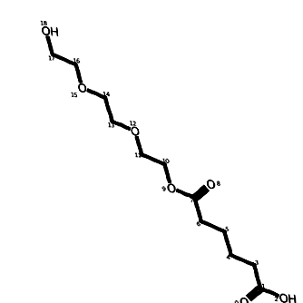 O=C(O)CCCCC(=O)OCCOCCOCCO